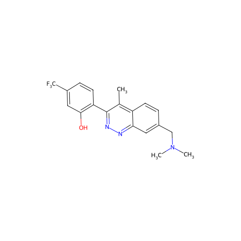 Cc1c(-c2ccc(C(F)(F)F)cc2O)nnc2cc(CN(C)C)ccc12